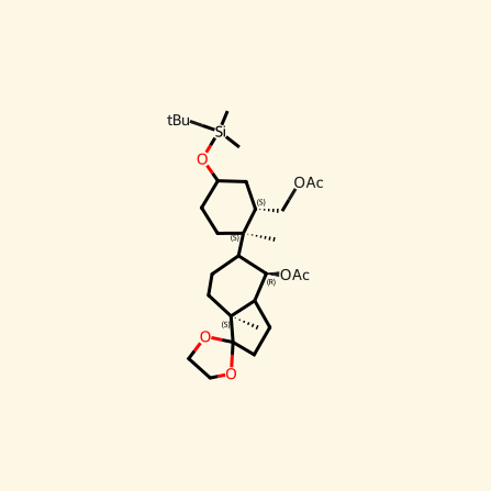 CC(=O)OC[C@H]1CC(O[Si](C)(C)C(C)(C)C)CC[C@]1(C)C1CC[C@@]2(C)C(CCC23OCCO3)[C@@H]1OC(C)=O